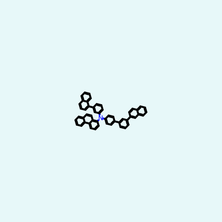 c1cc(-c2ccc(N(c3cccc(-c4cccc5ccccc45)c3)c3cccc4c3ccc3ccccc34)cc2)cc(-c2ccc3ccccc3c2)c1